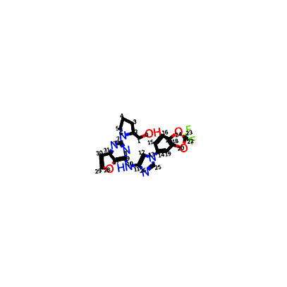 OCC1CCCN1c1nc(Nc2cn(-c3ccc4c(c3)OC(F)(F)O4)cn2)c2occc2n1